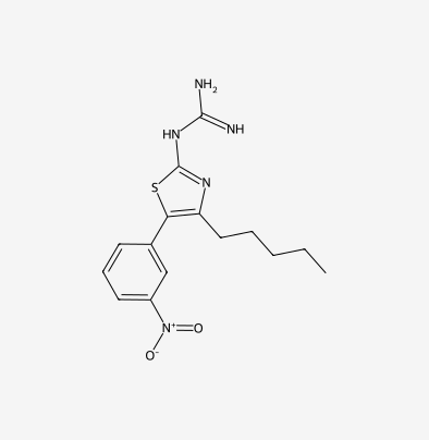 CCCCCc1nc(NC(=N)N)sc1-c1cccc([N+](=O)[O-])c1